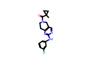 CC1(C(=O)N2CCc3nc(Nc4cccc(Cl)c4)ncc3C2)CC1